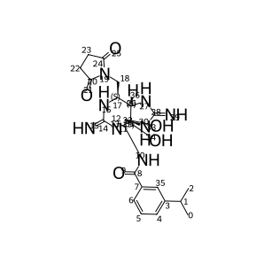 CC(C)c1cccc(C(=O)NC2CN3C(=N)N[C@@H](CN4C(=O)CCC4=O)[C@@H]4NC(=N)N[C@@]43C2(O)O)c1